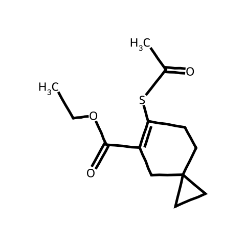 CCOC(=O)C1=C(SC(C)=O)CCC2(CC2)C1